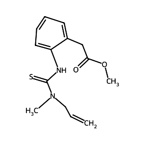 C=CCN(C)C(=S)Nc1ccccc1CC(=O)OC